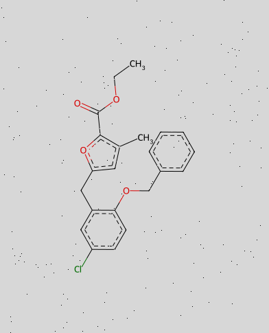 CCOC(=O)c1oc(Cc2cc(Cl)ccc2OCc2ccccc2)cc1C